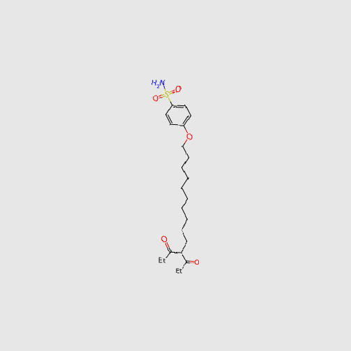 CCC(=O)C(CCCCCCCCCCOc1ccc(S(N)(=O)=O)cc1)C(=O)CC